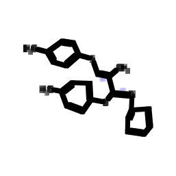 CC(=C\Sc1ccc(C)cc1)/C(=N/c1ccccc1)Sc1ccc(C)cc1